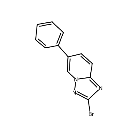 Brc1nc2ccc(-c3ccccc3)cn2n1